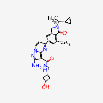 Cc1cc(-c2ccn3nc(N)c(C(=O)NC[C@H]4C[C@H](O)C4)c3n2)cc2c1C(=O)N([C@@H](C)C1CC1)C2